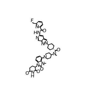 CN(C(=O)[C@H]1CC[C@H](n2cc3cc(NC(=O)c4cccc(CF)n4)ncc3n2)CC1)C1CCN(c2cccc3c2n(C)c(=O)n3C2CCC(=O)NC2=O)CC1